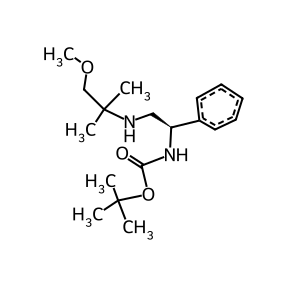 COCC(C)(C)NC[C@H](NC(=O)OC(C)(C)C)c1ccccc1